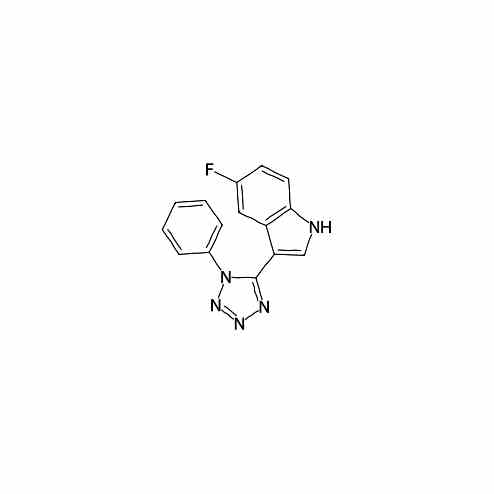 Fc1ccc2[nH]cc(-c3nnnn3-c3ccccc3)c2c1